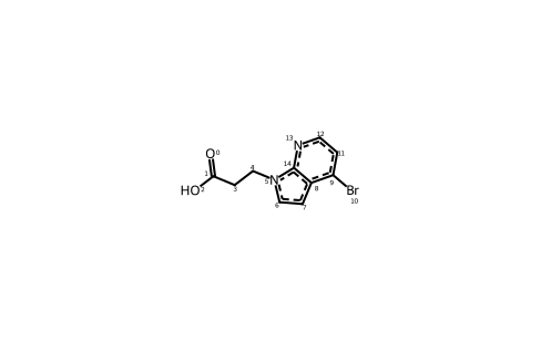 O=C(O)CCn1ccc2c(Br)ccnc21